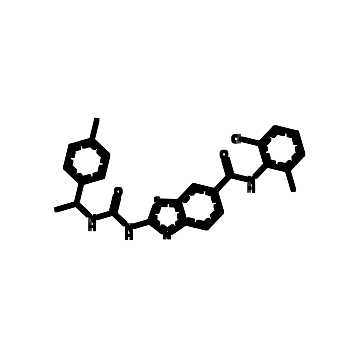 Cc1ccc(C(C)NC(=O)Nc2nc3ccc(C(=O)Nc4c(C)cccc4Cl)cc3s2)cc1